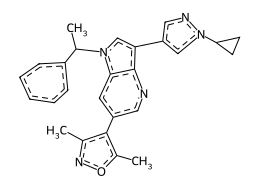 Cc1noc(C)c1-c1cnc2c(-c3cnn(C4CC4)c3)cn(C(C)c3ccccc3)c2c1